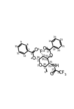 C[C@H]1O[C@H](OC(=O)c2ccccc2)[C@H](F)[C@@H](OC(=O)c2ccccc2)[C@H]1NC(=O)C(F)(F)F